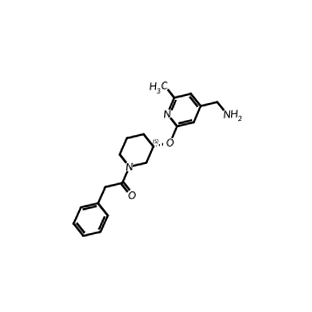 Cc1cc(CN)cc(O[C@H]2CCCN(C(=O)Cc3ccccc3)C2)n1